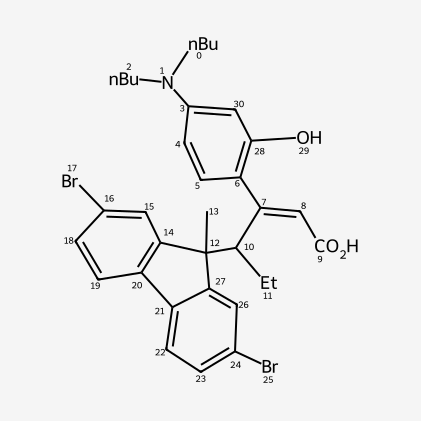 CCCCN(CCCC)c1ccc(/C(=C/C(=O)O)C(CC)C2(C)c3cc(Br)ccc3-c3ccc(Br)cc32)c(O)c1